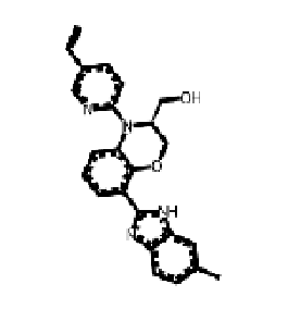 C=Cc1ccc(N2c3cccc(-c4nc5ccc(C)cc5[nH]4)c3OC[C@@H]2CO)nc1